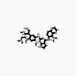 CN/C=C(\C=N)c1cc(Nc2nc(Nc3ccc4nccnc4c3P(C)C)c3cc[nH]c3n2)c(OC)cc1N(C)CCN(C)C